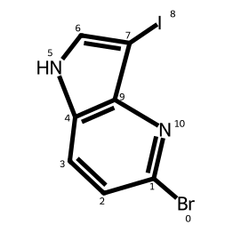 Brc1ccc2[nH]cc(I)c2n1